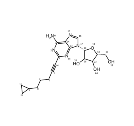 Nc1nc(C#CCCCC2CC2)nc2c1ncn2[C@@H]1O[C@H](CO)C(O)C1O